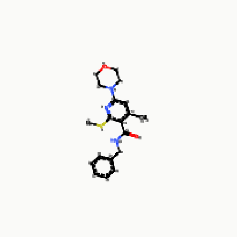 CCSc1nc(N2CCOCC2)cc(C)c1C(=O)NCc1ccccc1